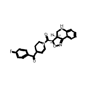 O=C(c1ccc(F)cc1)C1CCN(C(=O)[C@@H]2ON=C3c4ccccc4NC[C@@H]32)CC1